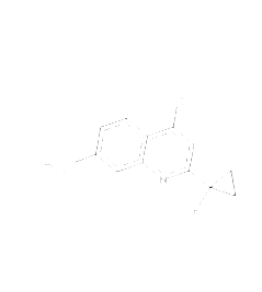 O=C(O)c1ccc2c(Cl)cc(C3(F)CC3)nc2c1